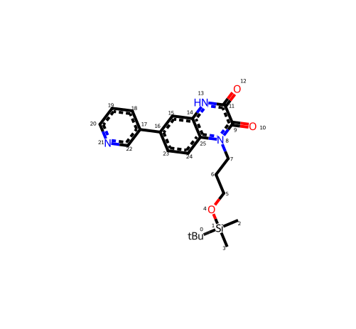 CC(C)(C)[Si](C)(C)OCCCn1c(=O)c(=O)[nH]c2cc(-c3cccnc3)ccc21